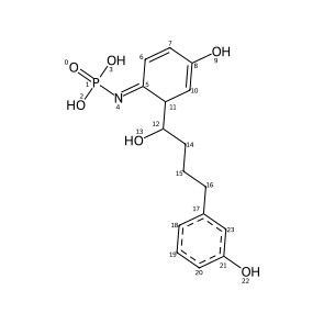 O=P(O)(O)/N=C1\C=CC(O)=CC1C(O)CCCc1cccc(O)c1